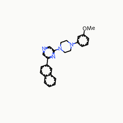 COc1cccc(N2CCN(c3cncc(-c4ccc5ccccc5c4)n3)CC2)c1